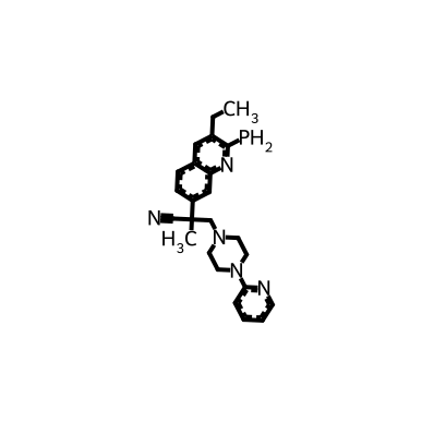 CCc1cc2ccc(C(C)(C#N)CN3CCN(c4ccccn4)CC3)cc2nc1P